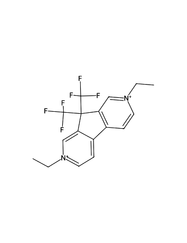 CC[n+]1ccc2c(c1)C(C(F)(F)F)(C(F)(F)F)c1c[n+](CC)ccc1-2